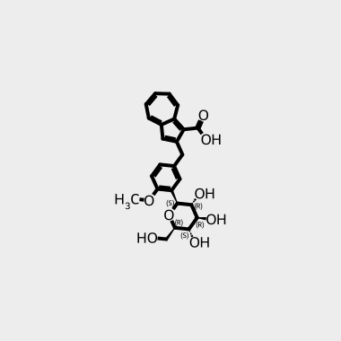 COc1ccc(Cc2cc3cccccc-3c2C(=O)O)cc1[C@@H]1O[C@H](CO)[C@@H](O)[C@H](O)[C@H]1O